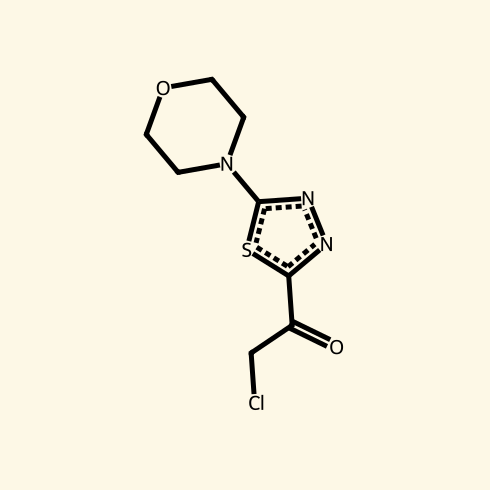 O=C(CCl)c1nnc(N2CCOCC2)s1